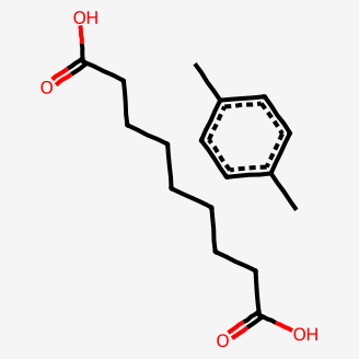 Cc1ccc(C)cc1.O=C(O)CCCCCCCC(=O)O